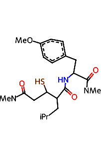 CNC(=O)CC(S)C(CC(C)C)C(=O)NC(Cc1ccc(OC)cc1)C(=O)NC